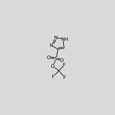 O=S(=O)(OC(F)(F)F)c1c[nH]nn1